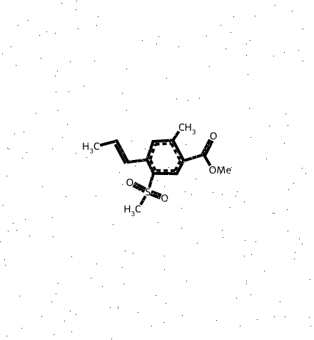 CC=Cc1cc(C)c(C(=O)OC)cc1S(C)(=O)=O